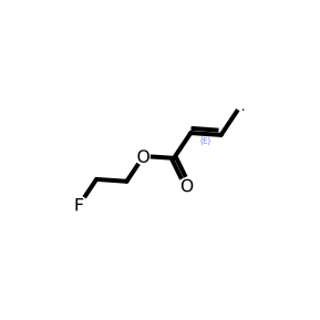 [CH2]/C=C/C(=O)OCCF